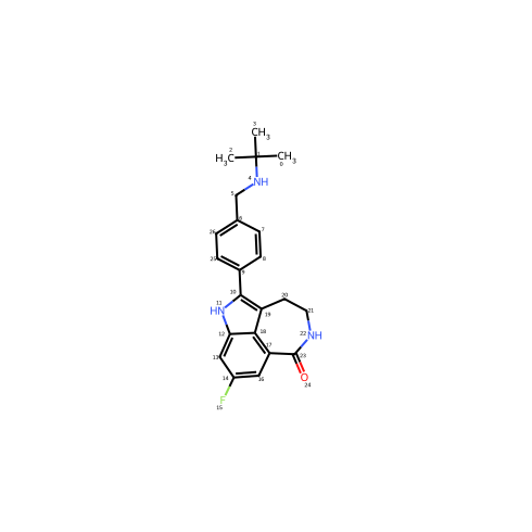 CC(C)(C)NCc1ccc(-c2[nH]c3cc(F)cc4c3c2CCNC4=O)cc1